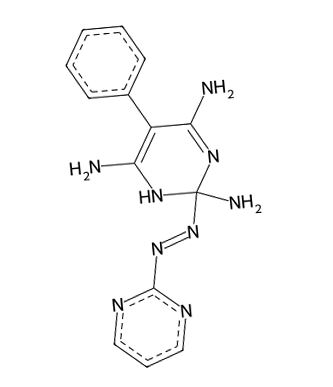 NC1=NC(N)(N=Nc2ncccn2)NC(N)=C1c1ccccc1